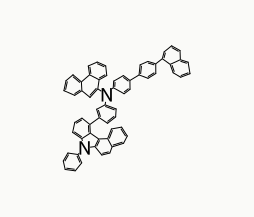 c1ccc(-n2c3cccc(-c4cccc(N(c5ccc(-c6ccc(-c7cccc8ccccc78)cc6)cc5)c5cc6ccccc6c6ccccc56)c4)c3c3c4ccccc4ccc32)cc1